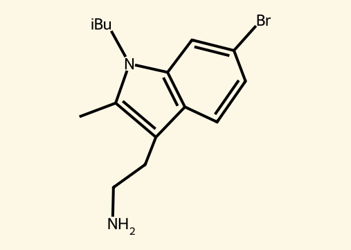 CCC(C)n1c(C)c(CCN)c2ccc(Br)cc21